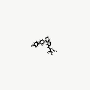 O=C1NC(=O)/C(=C/c2ccc3ncnc(N4CCC(c5ccc(F)cc5)CC4)c3c2)S1